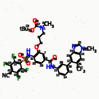 CN(CCCOc1cc(C(=O)Nc2cccc(-c3cc4ncn(C)c4cc3C(F)(F)F)c2)ccc1NS(=O)(=O)c1c(F)c(F)c(C#N)c(F)c1F)C(=O)OC(C)(C)C